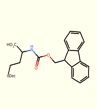 CCCCCCCCCCCCC(NC(=O)OCC1c2ccccc2-c2ccccc21)C(=O)O